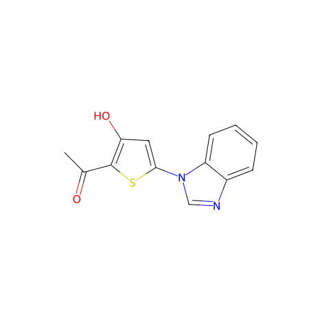 CC(=O)c1sc(-n2cnc3ccccc32)cc1O